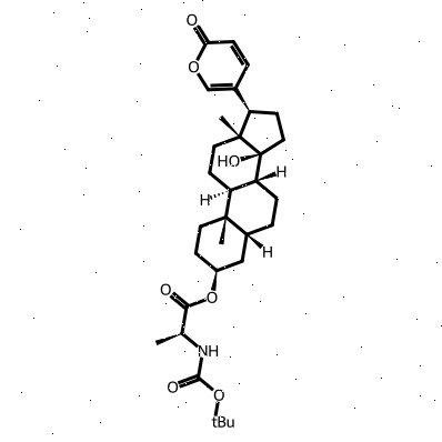 C[C@H](NC(=O)OC(C)(C)C)C(=O)O[C@H]1CC[C@@]2(C)[C@H](CC[C@@H]3[C@@H]2CC[C@]2(C)[C@@H](c4ccc(=O)oc4)CC[C@]32O)C1